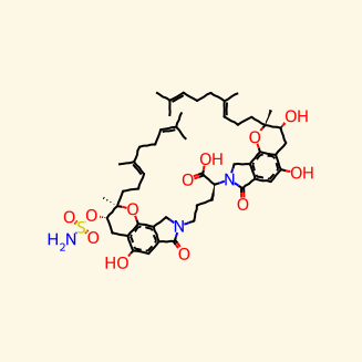 CC(C)=CCC/C(C)=C/CC[C@@]1(C)Oc2c(c(O)cc3c2CN(CCC[C@@H](C(=O)O)N2Cc4c(cc(O)c5c4O[C@](C)(CC/C=C(\C)CCC=C(C)C)[C@@H](O)C5)C2=O)C3=O)C[C@@H]1OS(N)(=O)=O